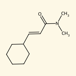 CN(C)C(=O)C=CC1CCCCC1